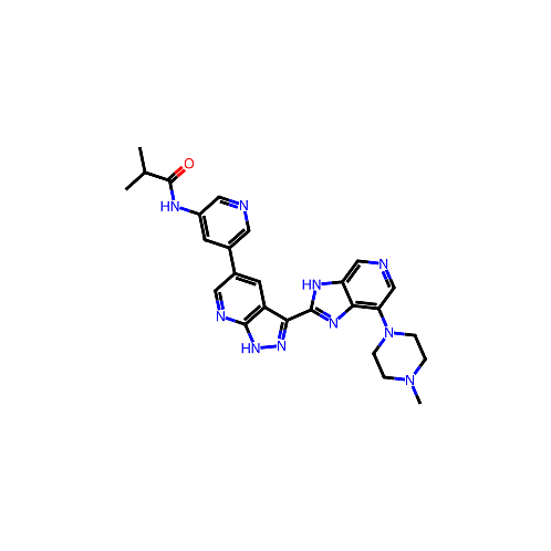 CC(C)C(=O)Nc1cncc(-c2cnc3[nH]nc(-c4nc5c(N6CCN(C)CC6)cncc5[nH]4)c3c2)c1